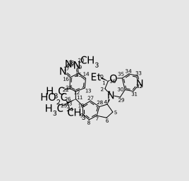 CC[C@@H]1CN([C@H]2CCc3ccc([C@H](c4ccc5c(nnn5C)c4C)C(C)(C)C(=O)O)cc32)Cc2cnccc2O1